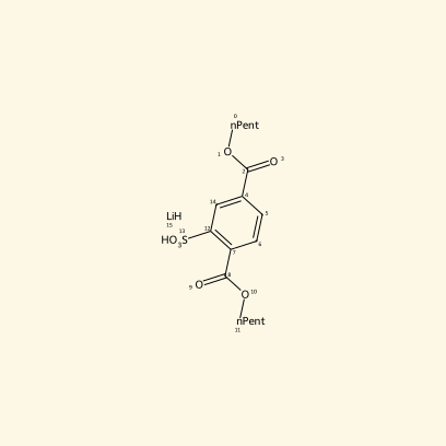 CCCCCOC(=O)c1ccc(C(=O)OCCCCC)c(S(=O)(=O)O)c1.[LiH]